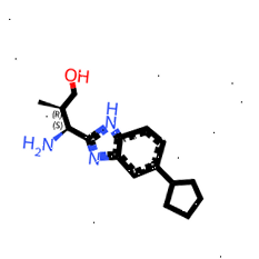 C[C@@H](CO)[C@H](N)c1nc2cc(C3CCCC3)ccc2[nH]1